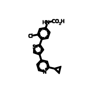 O=C(O)Nc1ccc(-c2cc(-c3ccnc(C4CC4)c3)cs2)c(Cl)c1